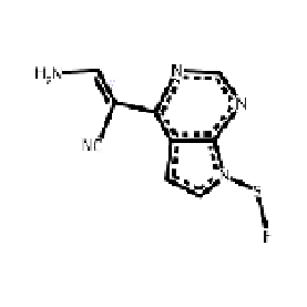 N#C/C(=C\N)c1ncnc2c1ccn2SF